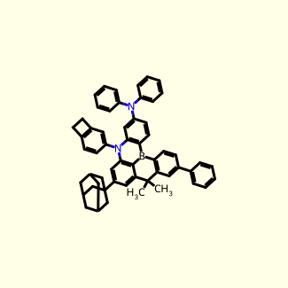 CC1(C)c2cc(-c3ccccc3)ccc2B2c3ccc(N(c4ccccc4)c4ccccc4)cc3N(c3ccc4c(c3)CC4)c3cc(C45CC6CC(CC(C6)C4)C5)cc1c32